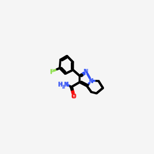 NC(=O)c1c(-c2cccc(F)c2)nn2c1CCCC2